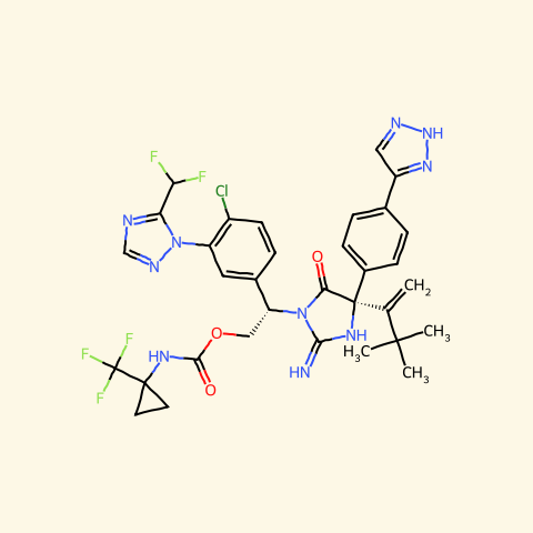 C=C(C(C)(C)C)[C@]1(c2ccc(-c3cn[nH]n3)cc2)NC(=N)N([C@H](COC(=O)NC2(C(F)(F)F)CC2)c2ccc(Cl)c(-n3ncnc3C(F)F)c2)C1=O